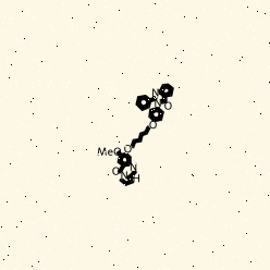 COc1cc2c(cc1OCCCCCCOc1ccc(-n3c(-c4ccccc4)nc4ccccc4c3=O)cc1)N=C[C@@H]1CCCN1C2=O